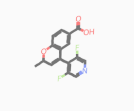 CC1C=C(c2c(F)cncc2F)c2cc(C(=O)O)ccc2O1